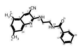 Cc1cc(C)c2cc(C#N)c(NCCNC(=O)c3ccccc3)nc2c1